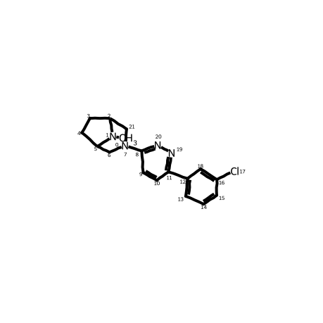 CN1C2CCC1CN(c1ccc(-c3cccc(Cl)c3)nn1)C2